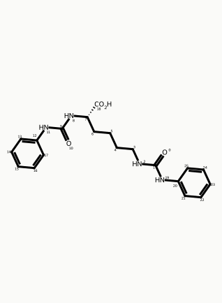 O=C(NCCCC[C@H](NC(=O)Nc1ccccc1)C(=O)O)Nc1ccccc1